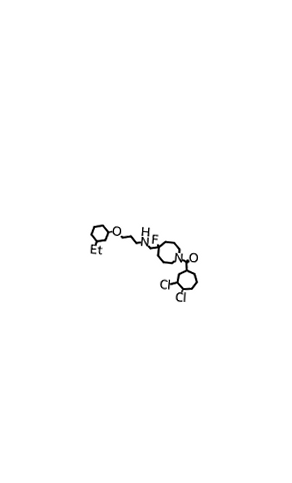 CCC1CCC[C@@H](OCCCNCC2(F)CCCN(C(=O)C3CCC[C@@H](Cl)C(Cl)C3)CCC2)C1